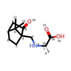 C[C@H](NCC12CCC(CC1=O)C2(C)C)C(=O)O